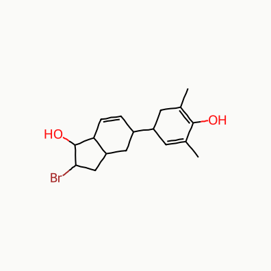 CC1=CC(C2C=CC3C(CC(Br)C3O)C2)CC(C)=C1O